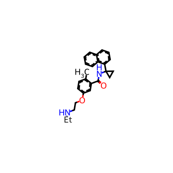 CCNCCOc1ccc(C)c(C(=O)NC2(c3cccc4ccccc34)CC2)c1